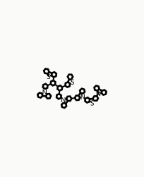 c1cc(-c2cc(-c3cc(-c4cccc(-n5c6ccccc6c6cc(-c7ccc8c(c7)c7ccccc7n8-c7ccc8sc9ccc(-n%10c%11ccccc%11c%11ccccc%11%10)cc9c8c7)ccc65)c4)cc(-c4ccc5sc6ccccc6c5c4)c3)cc(-c3cccc4c3sc3ccccc34)c2)cc(-n2c3ccccc3c3ccccc32)c1